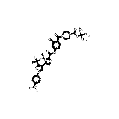 Cn1c(-c2cn(-c3ccc([N+](=O)[O-])cn3)nc2C(F)(F)F)cnc1C(=O)Nc1ccc(C(=O)N2CCN(C(=O)OC(C)(C)C)CC2)c(Cl)c1